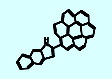 c1ccc2cc3[nH]c(-c4cc5ccc6ccc7ccc8ccc9ccc4c4c9c8c7c6c54)cc3cc2c1